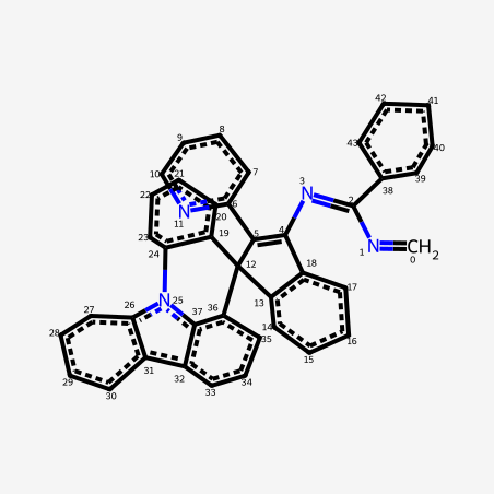 C=N/C(=N\C1=C(c2ccccn2)C2(c3ccccc31)c1ccccc1-n1c3ccccc3c3cccc2c31)c1ccccc1